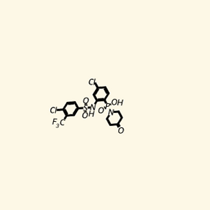 O=C1CCN(P(=O)(O)c2ccc(Cl)cc2NS(=O)(=O)c2ccc(Cl)c(C(F)(F)F)c2)CC1